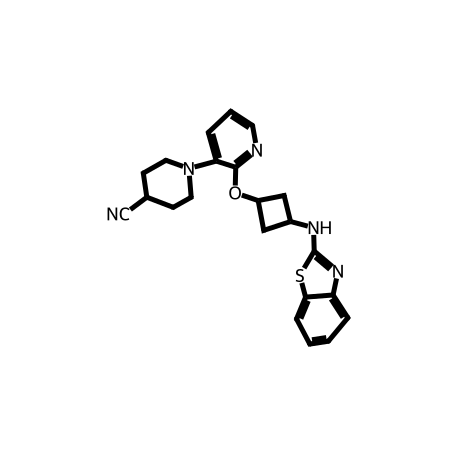 N#CC1CCN(c2cccnc2OC2CC(Nc3nc4ccccc4s3)C2)CC1